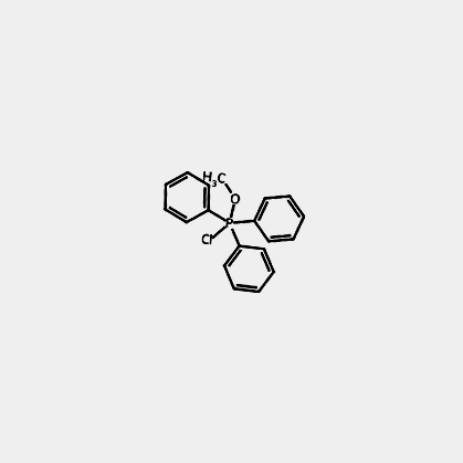 COP(Cl)(c1ccccc1)(c1ccccc1)c1ccccc1